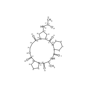 CC1NC(=O)C2CCCCN2C(=O)C2CC(N[S+](C)[O-])CN2C(=O)CCOC(=O)C2CCCN2C1=O